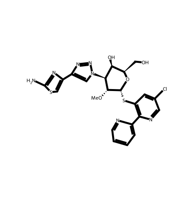 CO[C@@H]1[C@@H](n2cc(-c3csc(N)n3)nn2)[C@@H](O)[C@@H](CO)O[C@@H]1Sc1cc(Cl)cnc1-c1ccccn1